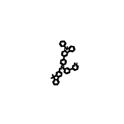 CC1(C)c2ccccc2-c2ccc(CN(c3ccc(C4=CC5c6ccccc6N(c6ccccc6)C5C=C4)cc3)c3cccc(-c4cccnc4)c3)cc21